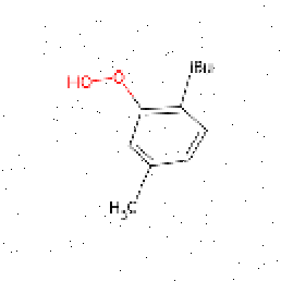 CCC(C)c1ccc(C)cc1OO